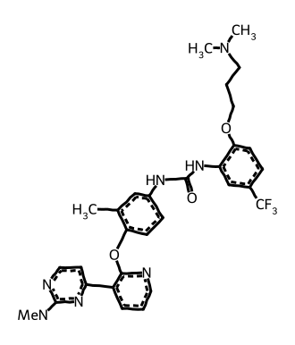 CNc1nccc(-c2cccnc2Oc2ccc(NC(=O)Nc3cc(C(F)(F)F)ccc3OCCCN(C)C)cc2C)n1